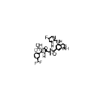 O=C(O)NC(NC(=O)CNC(=O)c1cc(NC2=NCC(F)CN2)c2cn[nH]c2c1)c1cccc(C(F)F)c1